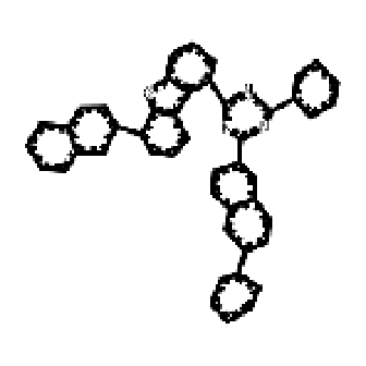 c1ccc(-c2ccc3cc(-c4nc(-c5ccccc5)nc(-c5cccc6oc7c(-c8ccc9ccccc9c8)cccc7c56)n4)ccc3c2)cc1